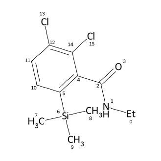 CCNC(=O)c1c([Si](C)(C)C)ccc(Cl)c1Cl